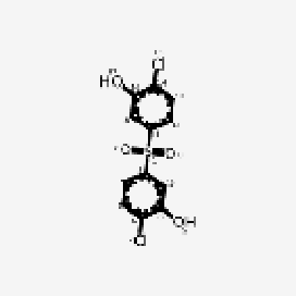 O=S(=O)(c1ccc(Cl)c(O)c1)c1ccc(Cl)c(O)c1